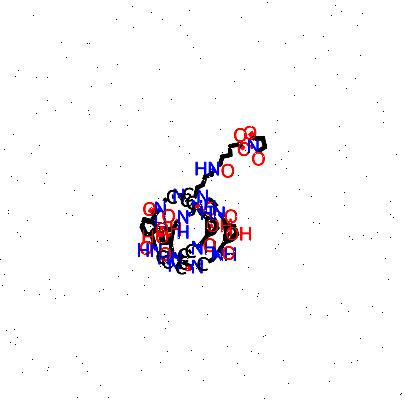 O=C(CCCC(=O)ON1C(=O)CCC1=O)NCCCCC1CN2CCNC(=O)c3cccc(c3O)C(=O)NCCN(CCNC(=O)c3cccc(c3O)C(=O)NCC2)CCN2CCNC(=O)c3cccc(c3O)C(=O)NCCN1CCNC(=O)c1cccc(c1O)C(=O)NCC2